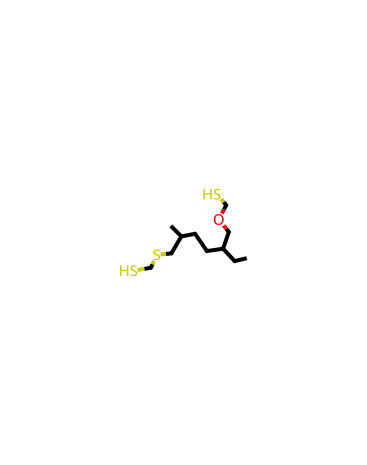 CCC(CCC(C)CSCS)COCS